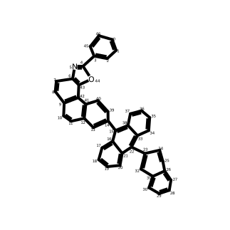 c1ccc(-c2nc3ccc4ccc5cc(-c6c7ccccc7c(-c7ccc8ccccc8c7)c7ccccc67)ccc5c4c3o2)cc1